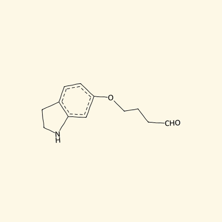 O=CCCCOc1ccc2c(c1)NCC2